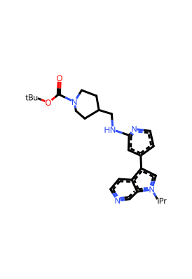 CC(C)n1cc(-c2ccnc(NCC3CCN(C(=O)OC(C)(C)C)CC3)c2)c2ccncc21